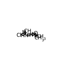 CCN(CC)C(=O)N1CCN(c2ccc(Nc3cc(C)nc4cc(Cl)ccc34)cc2)CC1